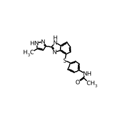 CC(=O)Nc1ccc(Sc2cccc3[nH]c(-c4cc(C)[nH]n4)nc23)cc1